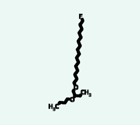 CCCCOC(CC)COCCCCCCCCCCCCCCCCF